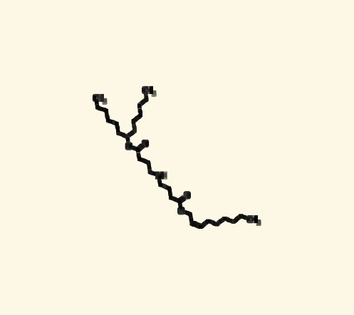 CCCCCC/C=C\COC(=O)CCCNCCCC(=O)OC(CCCCCC)CCCCCC